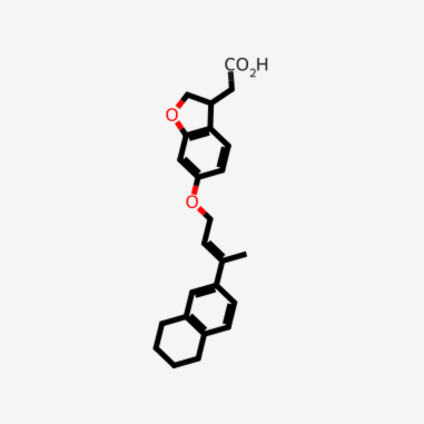 CC(=CCOc1ccc2c(c1)OCC2CC(=O)O)c1ccc2c(c1)CCCC2